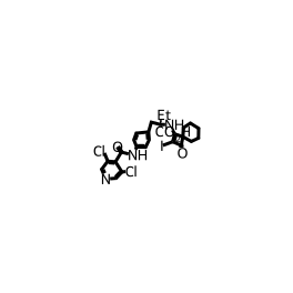 CC[C@@](Cc1ccc(NC(=O)c2c(Cl)cncc2Cl)cc1)(NC1=C(I)C(=O)C12CCCCC2)C(=O)O